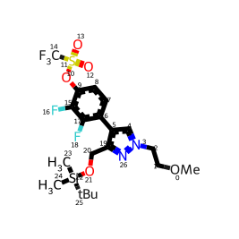 COCCn1cc(-c2ccc(OS(=O)(=O)C(F)(F)F)c(F)c2F)c(CO[Si](C)(C)C(C)(C)C)n1